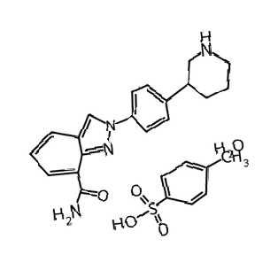 Cc1ccc(S(=O)(=O)O)cc1.NC(=O)c1cccc2cn(-c3ccc(C4CCCNC4)cc3)nc12.O